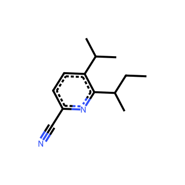 CCC(C)c1nc(C#N)ccc1C(C)C